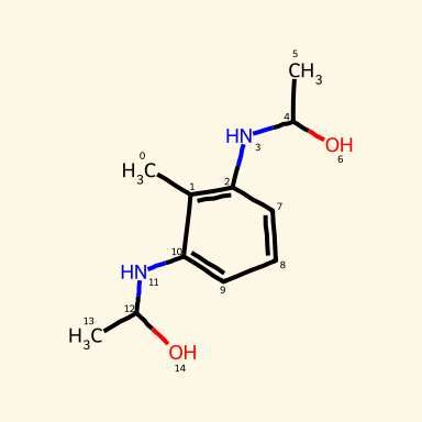 Cc1c(NC(C)O)cccc1NC(C)O